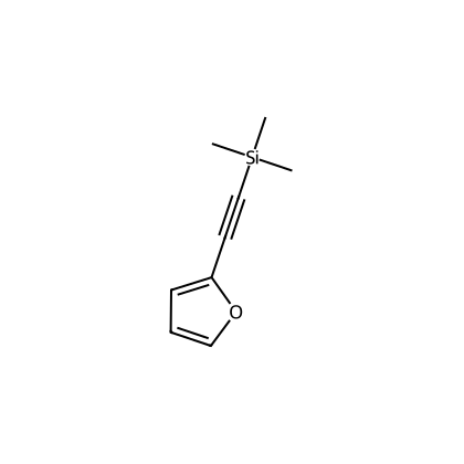 C[Si](C)(C)C#Cc1ccco1